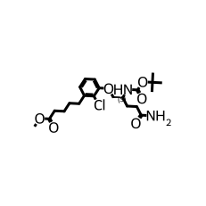 COC(=O)CCCCc1cccc(OC[C@H](CCC(N)=O)NC(=O)OC(C)(C)C)c1Cl